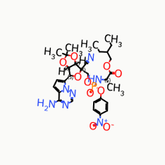 CCC(CC)COC(=O)[C@H](C)NP(=O)(OC[C@@]1(C#N)O[C@@H](c2ccc3c(N)ncnn23)[C@@H]2OC(C)(C)O[C@@H]21)Oc1ccc([N+](=O)[O-])cc1